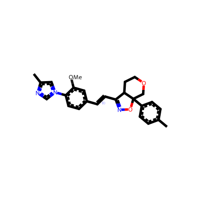 COc1cc(/C=C/C2=NOC3(c4ccc(C)cc4)COCCC23)ccc1-n1cnc(C)c1